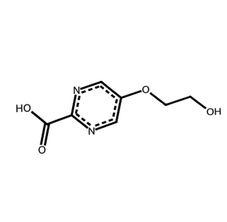 O=C(O)c1ncc(OCCO)cn1